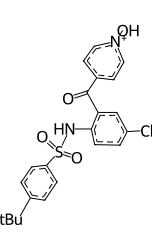 CC(C)(C)c1ccc(S(=O)(=O)Nc2ccc(Cl)cc2C(=O)c2cc[n+](O)cc2)cc1